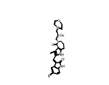 Cc1c(C=C2C(=O)Nc3ccc(F)cc32)[nH]c2c1C(=O)N(C[C@@H](O)CN1CCOCC1)CCC2